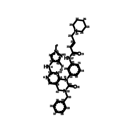 Cn1cc(Nc2ncc3c(n2)N(c2cccc(NC(=O)/C=C/CN4CCCCC4)c2)C(=O)N(Cc2ccccc2)C3)c(F)n1